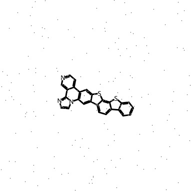 c1ccc2c(c1)sc1c2ccc2c3cc4c(cc3sc21)c1ccncc1c1nccn41